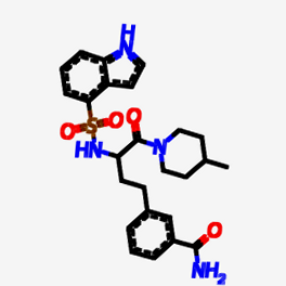 CC1CCN(C(=O)C(CCc2cccc(C(N)=O)c2)NS(=O)(=O)c2cccc3[nH]ccc23)CC1